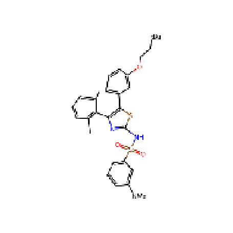 CNc1cccc(S(=O)(=O)Nc2nc(-c3c(C)cccc3C)c(-c3cccc(OCCC(C)(C)C)c3)s2)c1